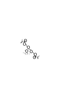 C=C(C)C(=O)OCCOCCOCCOC(=O)C(=C)C.[CH2]COC.[CH2][CH2]